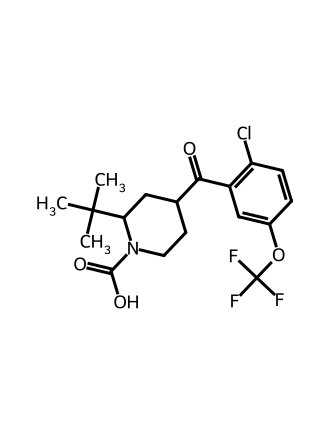 CC(C)(C)C1CC(C(=O)c2cc(OC(F)(F)F)ccc2Cl)CCN1C(=O)O